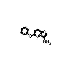 Nc1cnc2ccc(Oc3ccccc3)nn12